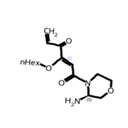 C=CC(=O)/C(=C/C(=O)N1CCOC[C@H]1N)OCCCCCC